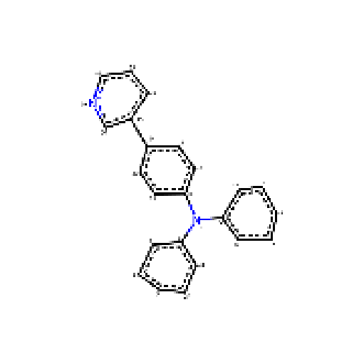 c1ccc(N(c2ccccc2)c2ccc(-c3cccnc3)cc2)cc1